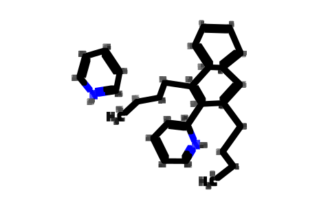 CCCCc1cc2ccccc2c(CCCC)c1-c1ccccn1.c1ccncc1